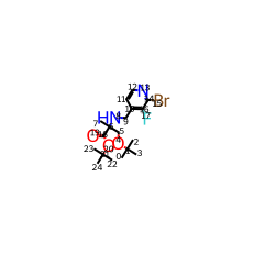 CC(C)(C)OCC(C)(NCc1ccnc(Br)c1F)C(=O)OC(C)(C)C